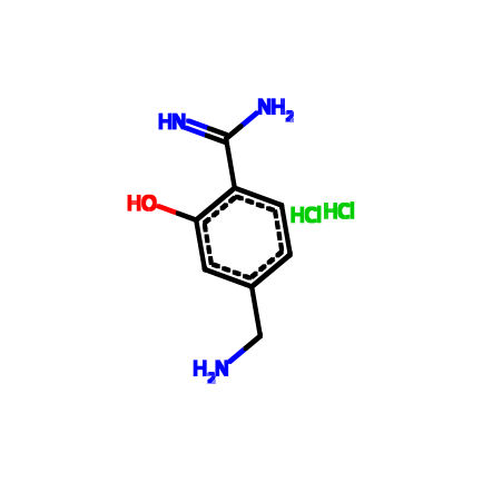 Cl.Cl.N=C(N)c1ccc(CN)cc1O